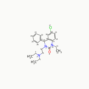 CCN(CC)CCN1C(=O)N(CC)c2ccc(Cl)cc2C1c1ccccc1